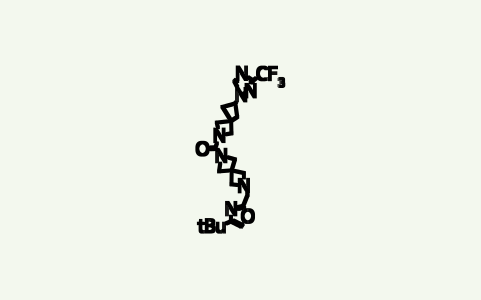 CC(C)(C)c1coc(CN2CC3(C2)CN(C(=O)N2CC4(CC(n5cnc(C(F)(F)F)n5)C4)C2)C3)n1